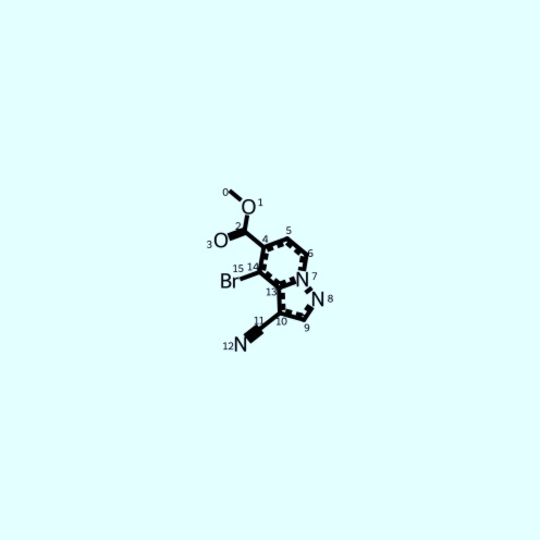 COC(=O)c1ccn2ncc(C#N)c2c1Br